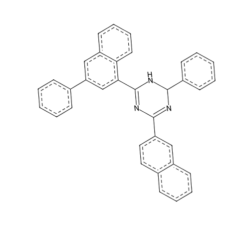 c1ccc(-c2cc(C3=NC(c4ccc5ccccc5c4)=NC(c4ccccc4)N3)c3ccccc3c2)cc1